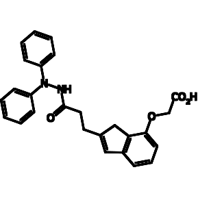 O=C(O)COc1cccc2c1CC(CCC(=O)NN(c1ccccc1)c1ccccc1)=C2